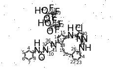 O=C(Nc1ccccc1)N1CCN(c2ccc3cc2CCc2cccc(c2)Nc2ncc(Cl)c(n2)N3)CC1.O=C(O)C(F)(F)F.O=C(O)C(F)(F)F